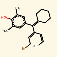 C/C=C\C(=C/CBr)C(=C1CCCCC1)c1cc(C)c(O)c(C)c1